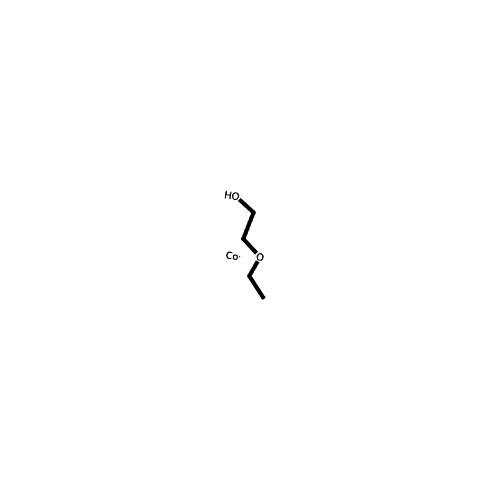 CCOCCO.[Co]